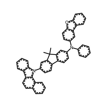 CC1(C)c2cc(N(c3ccccc3)c3ccc4oc5ccccc5c4c3)ccc2-c2ccc(-n3c4ccccc4c4ccc5ccccc5c43)cc21